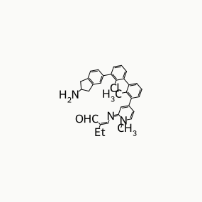 CC/C(C=O)=C/N=c1/cc(-c2cccc(-c3cccc(-c4ccc5c(c4)CC(N)C5)c3Cl)c2C)ccn1C